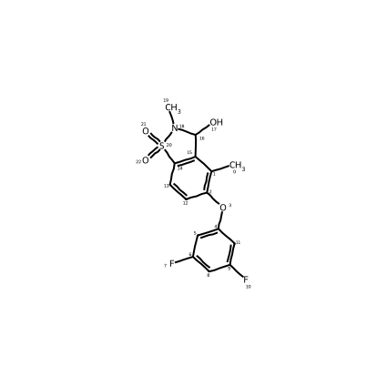 Cc1c(Oc2cc(F)cc(F)c2)ccc2c1C(O)N(C)S2(=O)=O